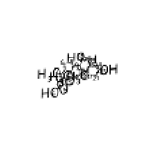 C[C@H](CCC(=O)O)[C@H]1CCC2C3C(C[C@H](O)[C@@]21C)[C@@]1(C)CC[C@@H](O)C[C@H]1C[C@@H]3O